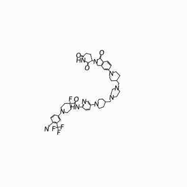 N#Cc1ccc(N2CCC(F)(C(=O)Nc3ccc(N4CCC(CN5CCN(CC6CCN(c7ccc8c(c7)CN(C7CCC(=O)NC7=O)C8=O)CC6)CC5)CC4)cn3)CC2)cc1C(F)(F)F